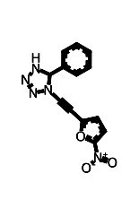 O=[N+]([O-])c1ccc(C#CN2N=NNC2c2ccccc2)o1